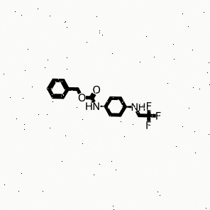 O=C(N[C@H]1CC[C@H](NCC(F)(F)F)CC1)OCc1ccccc1